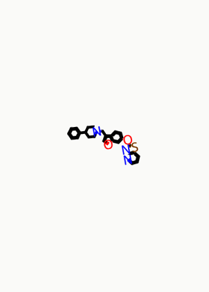 c1ccc(C2CCN(Cc3coc4cc(Oc5nc6ncccc6s5)ccc34)CC2)cc1